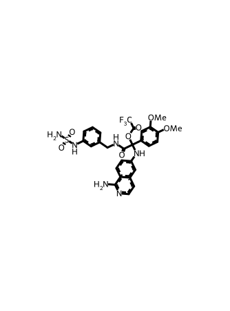 COc1ccc(C(Nc2ccc3c(N)nccc3c2)(OC(=O)C(F)(F)F)C(=O)NCc2cccc(NS(N)(=O)=O)c2)cc1OC